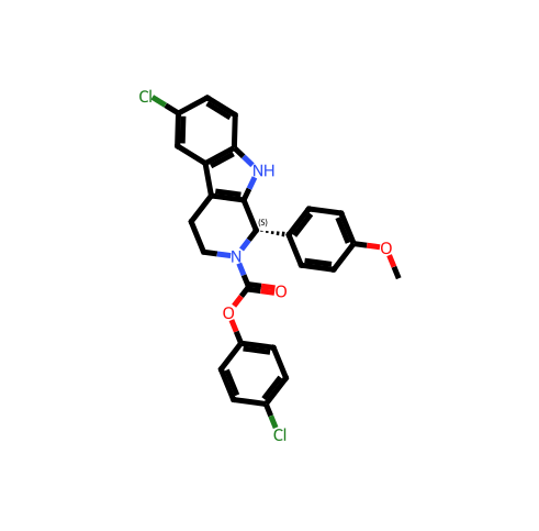 COc1ccc([C@H]2c3[nH]c4ccc(Cl)cc4c3CCN2C(=O)Oc2ccc(Cl)cc2)cc1